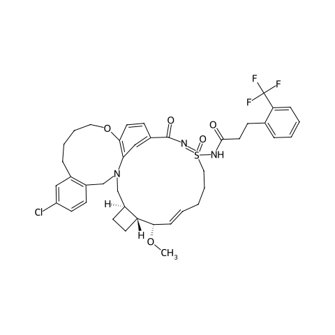 CO[C@H]1/C=C/CCCS(=O)(NC(=O)CCc2ccccc2C(F)(F)F)=NC(=O)c2ccc3c(c2)N(Cc2ccc(Cl)cc2CCCCO3)C[C@@H]2CC[C@H]21